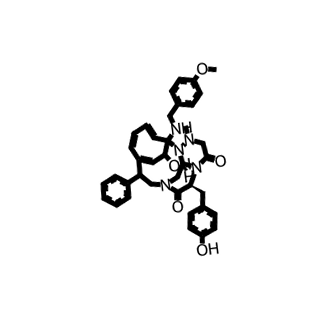 COc1ccc(CNC23/C=C/C=C\C(=C/C2O)C(c2ccccc2)CN2C[C@H]4N(C(=O)CN(C)N43)[C@@H](Cc3ccc(O)cc3)C2=O)cc1